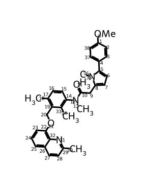 COc1ccc(-c2ccc(CC(=O)N(C)c3ccc(C)c(COc4cccc5ccc(C)nc45)c3C)n2C)cc1